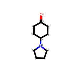 O=C1CCC(N2CCCC2)CC1